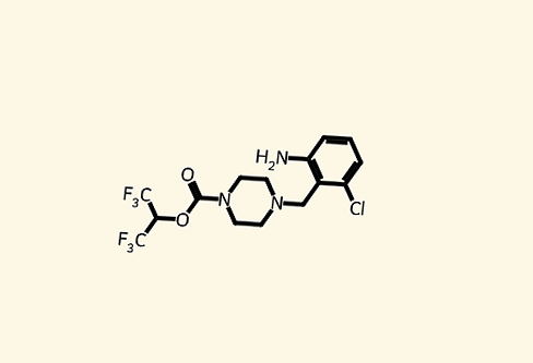 Nc1cccc(Cl)c1CN1CCN(C(=O)OC(C(F)(F)F)C(F)(F)F)CC1